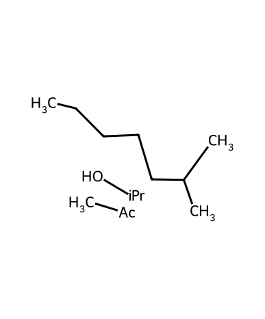 CC(C)=O.CC(C)O.CCCCCC(C)C